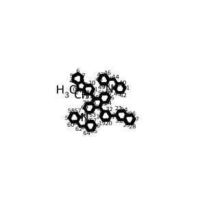 CC1(C)c2ccccc2-c2ccc(-c3c4c(c(-c5cccc(-c6ccc7ccccc7c6)c5)c5ccc(N6C7=C(C=CCC7)Cc7ccccc76)cc35)=CC(N3c5ccccc5Cc5ccccc53)CC=4)cc21